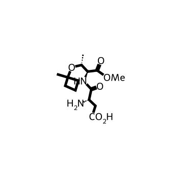 COC(=O)[C@@H](NC(=O)[C@@H](N)CC(=O)O)[C@@H](C)OC1(C)CCC1